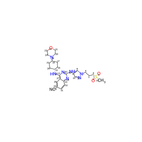 CS(=O)(=O)CCCn1cc(Nc2nc(N[C@H]3CC[C@H](N4CCOCC4)CC3)c3cc(C#N)ccc3n2)cn1